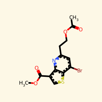 COC(=O)c1csc2c(Br)cc(CCOC(C)=O)nc12